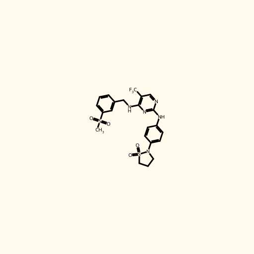 CS(=O)(=O)c1cccc(CNc2nc(Nc3ccc(N4CCCS4(=O)=O)cc3)ncc2C(F)(F)F)c1